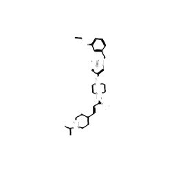 CCOc1cccc(Cn2cc(N3CCN(C(=O)/C=C/C4CCN(C(C)C)CC4)CC3)cn2)c1